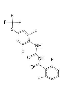 O=C(NC(=O)c1c(F)cccc1F)Nc1c(F)cc(SC(F)(F)F)cc1F